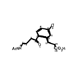 CC(=O)NCCCC(=O)c1ccc(Cl)cc1CCC(=O)O